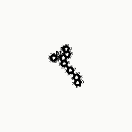 c1ccc2cc(-c3ccc(-c4ccc5c(c4)c4ccc6cccnc6c4c4nc6ccccc6n54)cc3)ccc2c1